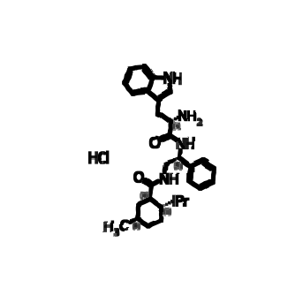 CC(C)[C@@H]1CC[C@@H](C)C[C@H]1C(=O)NC[C@@H](NC(=O)[C@@H](N)Cc1c[nH]c2ccccc12)c1ccccc1.Cl